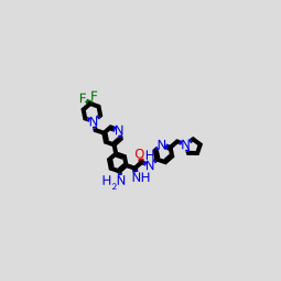 N=C(C(=O)Nc1ccc(CN2CCCC2)nc1)c1cc(-c2cncc(CN3CCC(F)(F)CC3)c2)ccc1N